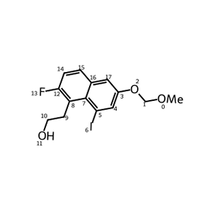 COCOc1cc(I)c2c(CCO)c(F)ccc2c1